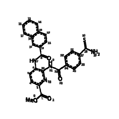 COC(=O)c1ccc(NC(=O)c2ccc3ccccc3c2)c(NC(=O)c2ccc(C(N)=S)cc2)n1